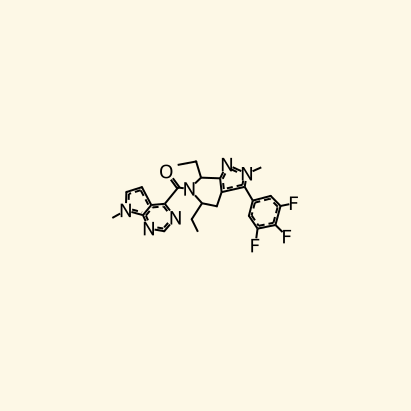 CCC1Cc2c(nn(C)c2-c2cc(F)c(F)c(F)c2)C(CC)N1C(=O)c1ncnc2c1ccn2C